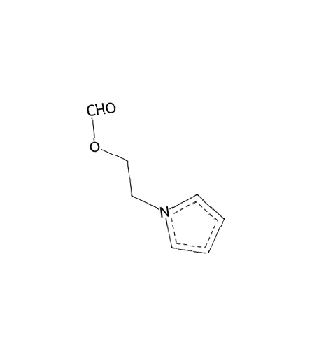 O=COCCn1cccc1